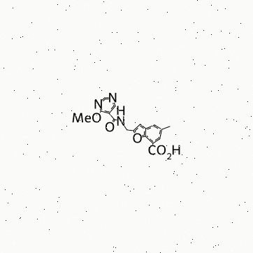 COc1ncncc1C(=O)NCc1cc2cc(C)cc(C(=O)O)c2o1